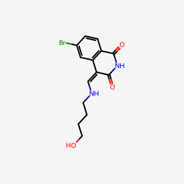 O=C1NC(=O)c2ccc(Br)cc2C1=CNCCCCO